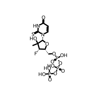 CC1(O)[C@@H](F)[C@@H](COP(=O)(O)OP(=O)(O)OP(=O)(O)O)O[C@H]1n1ccc(=O)[nH]c1=S